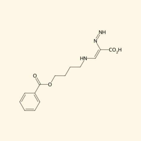 N=N/C(=C\NCCCCOC(=O)c1ccccc1)C(=O)O